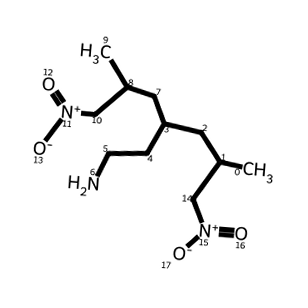 CC(CC(CCN)CC(C)C[N+](=O)[O-])C[N+](=O)[O-]